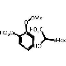 CCCCCCC(O)C(=O)O.COOc1ccccc1C(=O)O